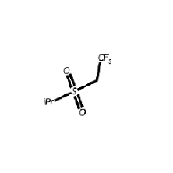 CC(C)S(=O)(=O)CC(F)(F)F